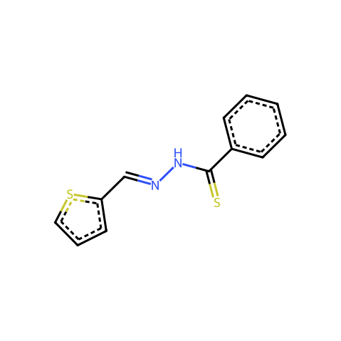 S=C(NN=Cc1cccs1)c1ccccc1